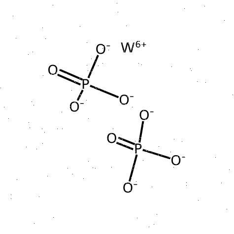 O=P([O-])([O-])[O-].O=P([O-])([O-])[O-].[W+6]